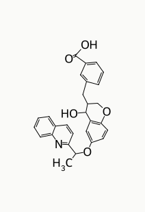 CC(Oc1ccc2c(c1)C(O)C(Cc1cccc(C(=O)O)c1)CO2)c1ccc2ccccc2n1